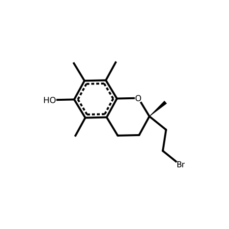 Cc1c(C)c2c(c(C)c1O)CC[C@@](C)(CCBr)O2